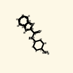 NC1CCC(NC(=O)c2nc3ccccc3s2)CC1